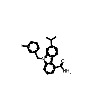 CC(C)c1c[c]c2c3c(C(N)=O)cccc3n(Cc3cccc(I)c3)c2c1